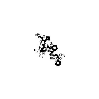 CCCNC(=O)C(=O)C(NC(=O)[C@@H]1[C@@H]2[C@H](CN1C(=O)[C@@H](NC(=O)N[C@H](CN(C)S(=O)(=O)c1ccccn1)C(C)(C)C)C1(C)CCCCC1)C2(C)C)C1CCC1